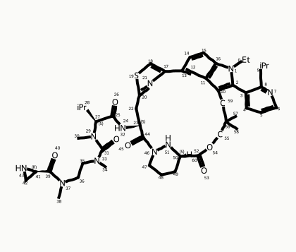 CCn1c(-c2cccnc2C(C)C)c2c3cc(ccc31)-c1csc(n1)C[C@H](NC(=O)[C@H](C(C)C)N(C)C(=O)N(C)CCN(C)C(=O)[C@H]1CN1)C(=O)N1CCC[C@H](N1)C(=O)OCC(C)(C)C2